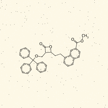 COC(=O)c1ccc2cccc(CCC3OC(=O)C3COC(c3ccccc3)(c3ccccc3)c3ccccc3)c2c1